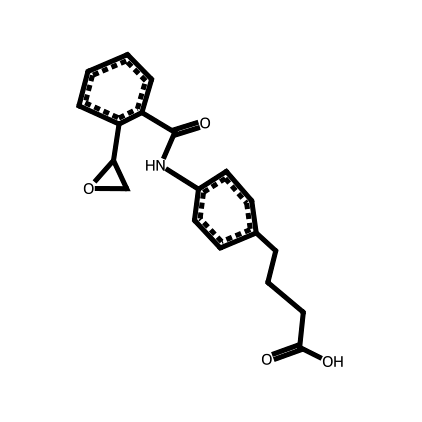 O=C(O)CCCc1ccc(NC(=O)c2ccccc2C2CO2)cc1